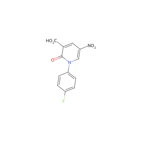 O=C(O)c1cc([N+](=O)[O-])cn(-c2ccc(F)cc2)c1=O